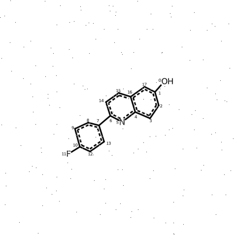 Oc1ccc2nc(-c3ccc(F)cc3)ccc2c1